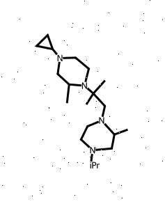 CC(C)N1CCN(CC(C)(C)N2CCN(C3CC3)CC2C)C(C)C1